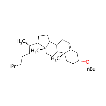 CCCCOC1CC[C@@]2(C)C(=CCC3C2CC[C@@]2(C)C3CC[C@@H]2[C@H](C)CCCC(C)C)C1